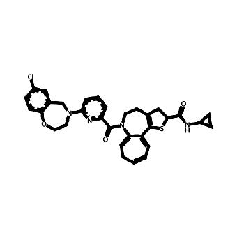 O=C(NC1CC1)C1CC2=C(S1)C1=CC=CCC=C1N(C(=O)c1cccc(N3CCOc4ccc(Cl)cc4C3)n1)CC2